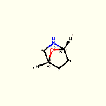 C1C[C@H]2NC[C@@H]1O2